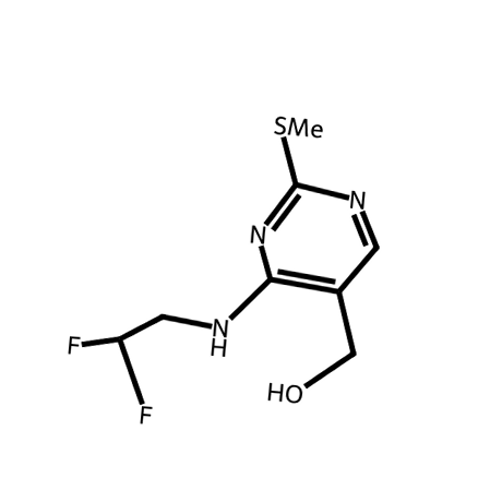 CSc1ncc(CO)c(NCC(F)F)n1